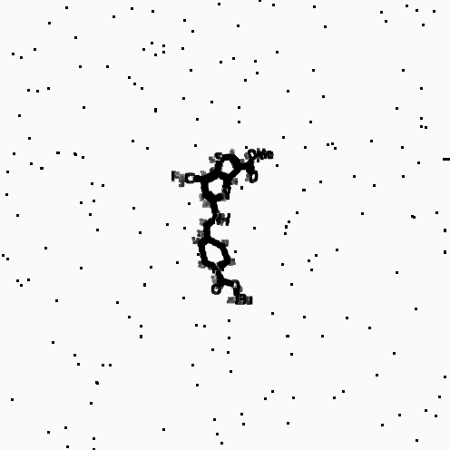 COC(=O)c1csc2c(C(F)(F)F)cc(NCC3CCN(C(=O)OC(C)(C)C)CC3)nc12